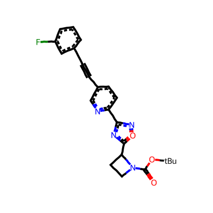 CC(C)(C)OC(=O)N1CCC1c1nc(-c2ccc(C#Cc3cccc(F)c3)cn2)no1